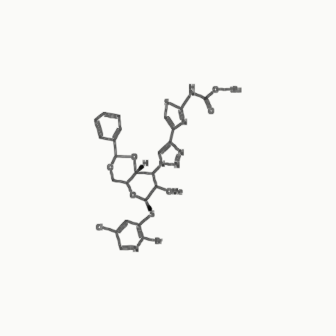 COC1C(n2cc(-c3csc(NC(=O)OC(C)(C)C)n3)nn2)[C@H]2OC(c3ccccc3)OCC2O[C@@H]1Sc1cc(Cl)cnc1Br